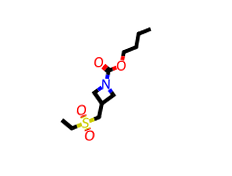 CCCCOC(=O)N1CC(CS(=O)(=O)CC)C1